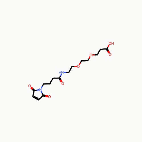 O=C(O)CCOCCOCCNC(=O)CCCN1C(=O)C=CC1=O